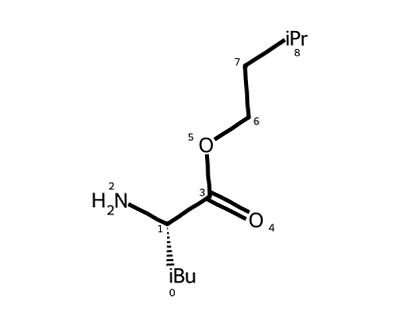 CCC(C)[C@H](N)C(=O)OCCC(C)C